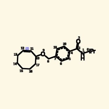 CC(C)NC(=O)c1ccc(COC2/C=C\CCCCC2)cc1